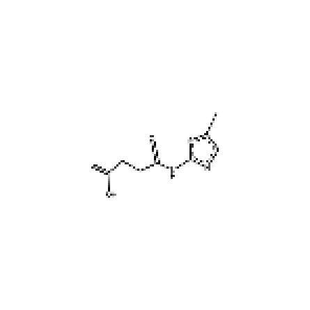 C=C(O)CCC(=O)Nc1ncc(C)s1